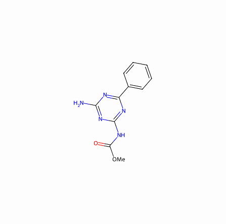 COC(=O)Nc1nc(N)nc(-c2ccccc2)n1